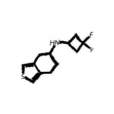 FC1(F)CC(NC2CCc3cscc3C2)C1